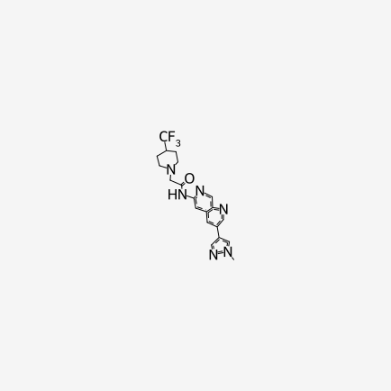 Cn1cc(-c2cnc3cnc(NC(=O)CN4CCC(C(F)(F)F)CC4)cc3c2)cn1